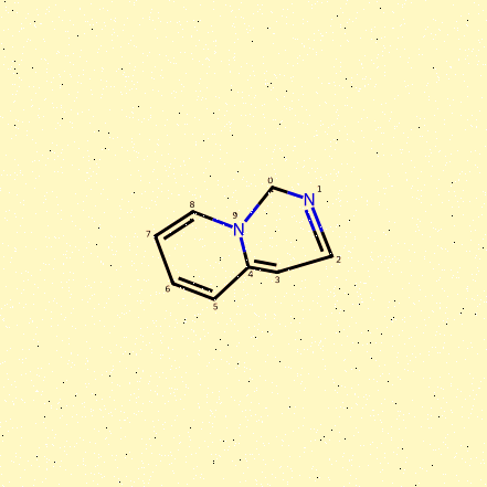 [CH]1N=CC=C2C=CC=CN12